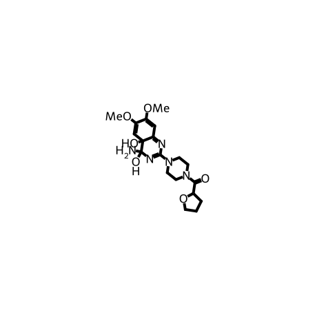 COC1=CC2=NC(N3CCN(C(=O)C4CCCO4)CC3)=NC(N)(O)C2(O)C=C1OC